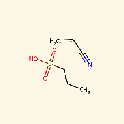 C=CC#N.CCCS(=O)(=O)O